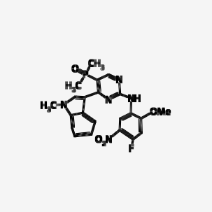 COc1cc(F)c([N+](=O)[O-])cc1Nc1ncc(P(C)(C)=O)c(-c2cn(C)c3ccccc23)n1